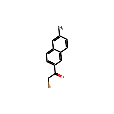 Bc1ccc2cc(C(=O)CBr)ccc2c1